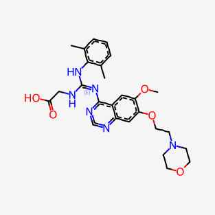 COc1cc2c(/N=C(\NCC(=O)O)Nc3c(C)cccc3C)ncnc2cc1OCCN1CCOCC1